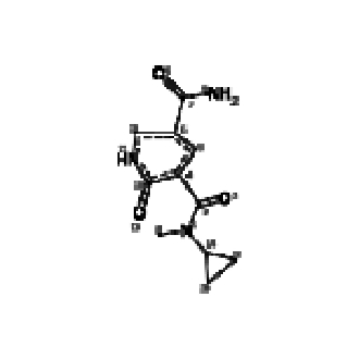 CN(C(=O)c1cc(C(N)=O)c[nH]c1=O)C1CC1